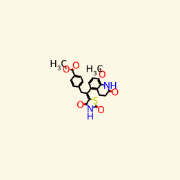 COC(=O)c1ccc(CC(=C2SC(=O)NC2=O)c2ccc(OC)c3c2CCC(=O)N3)cc1